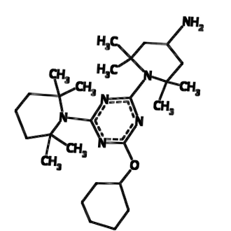 CC1(C)CCCC(C)(C)N1c1nc(OC2CCCCC2)nc(N2C(C)(C)CC(N)CC2(C)C)n1